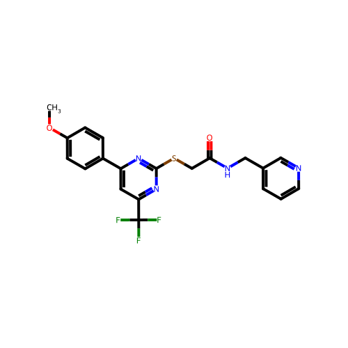 COc1ccc(-c2cc(C(F)(F)F)nc(SCC(=O)NCc3cccnc3)n2)cc1